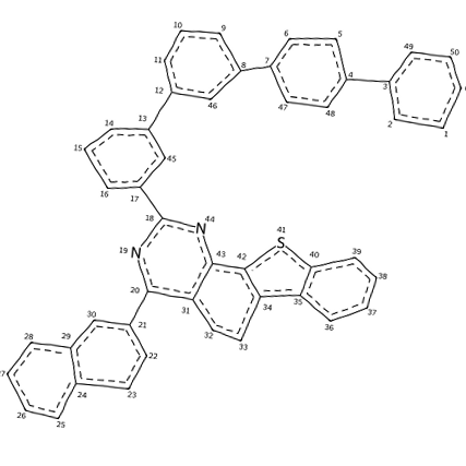 c1ccc(-c2ccc(-c3cccc(-c4cccc(-c5nc(-c6ccc7ccccc7c6)c6ccc7c8ccccc8sc7c6n5)c4)c3)cc2)cc1